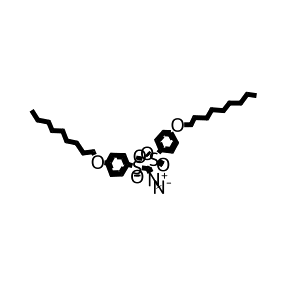 CCCCCCCCCOc1ccc(S(=O)(=O)C(=[N+]=[N-])S(=O)(=O)c2ccc(OCCCCCCCCC)cc2)cc1